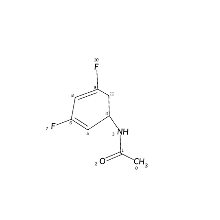 CC(=O)NC1C=C(F)C=C(F)C1